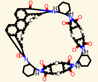 O=C1c2ccc3c4ccc5c6c7ccc(c8ccc(c2c38)C(=O)N1C1CCCC[C@@H]1n1c(=O)c2cc3c(=O)n(c(=O)c3cc2c1=O)[C@H]1CCCC[C@@H]1n1c(=O)c2cc3c(=O)n(c(=O)c3cc2c1=O)[C@H]1CCCC[C@@H]1N(C5=O)C7=O)c64